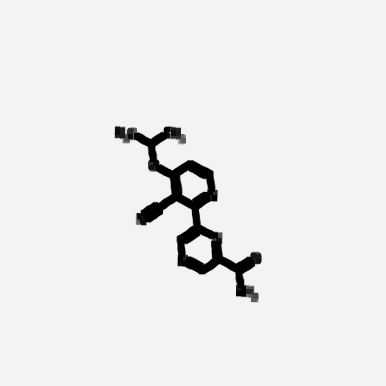 CC(C)Oc1ccnc(-c2cncc(C(N)=O)n2)c1C#N